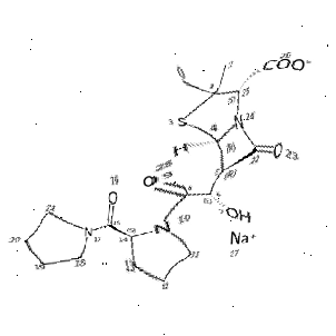 CC1(C)S[C@@H]2[C@H]([C@H](O)C(=O)N3CCC[C@H]3C(=O)N3CCCC3)C(=O)N2[C@H]1C(=O)[O-].[Na+]